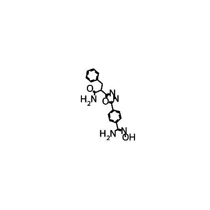 NC(=O)C(Cc1ccccc1)c1nnc(-c2ccc(/C(N)=N/O)cc2)o1